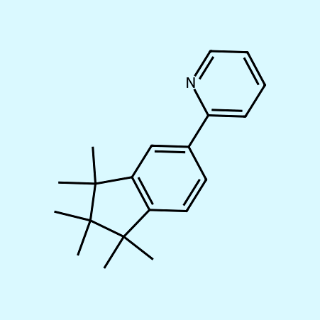 CC1(C)c2ccc(-c3ccccn3)cc2C(C)(C)C1(C)C